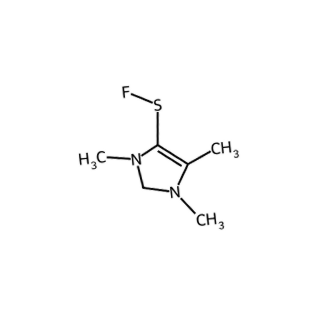 CC1=C(SF)N(C)CN1C